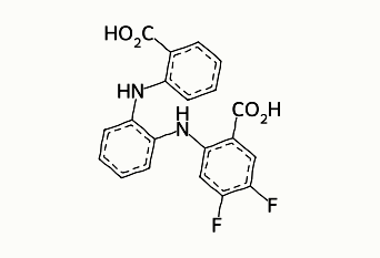 O=C(O)c1ccccc1Nc1ccccc1Nc1cc(F)c(F)cc1C(=O)O